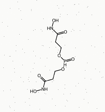 O=C(CCO[PH](=O)OCCC(=O)NO)NO